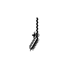 CCCCCCCCCCC(OCCC(F)(F)C(F)(F)C(F)(F)C(F)(F)C(F)(F)C(F)(F)F)SC(C)=O